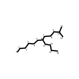 CCCCCCC(C[CH]CC(C)C)CCCC